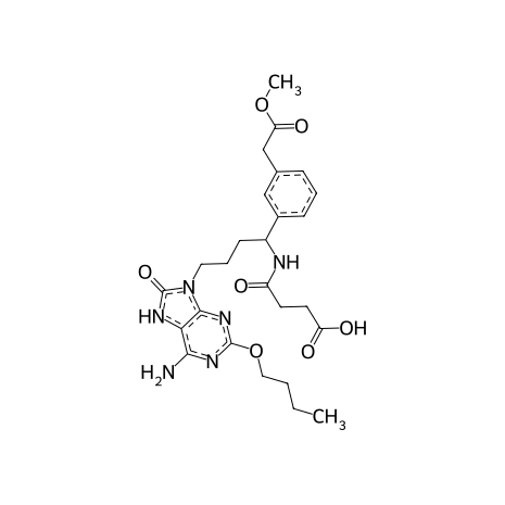 CCCCOc1nc(N)c2[nH]c(=O)n(CCCC(NC(=O)CCC(=O)O)c3cccc(CC(=O)OC)c3)c2n1